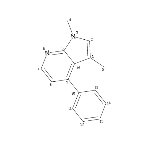 Cc1cn(C)c2nccc(-c3ccccc3)c12